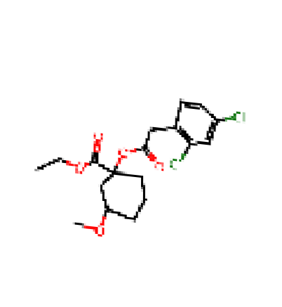 CCOC(=O)C1(OC(=O)Cc2ccc(Cl)cc2Cl)CCCC(OC)C1